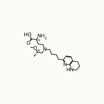 CO[C@H](C)CN(CCCCc1ccc2c(n1)NCCC2)CC[C@H](N)C(=O)O